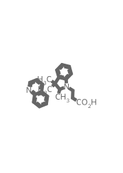 CC1N(CCC(=O)O)c2ccccc2C1(C)C.c1ccc2ncccc2c1